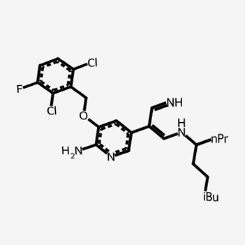 CCCC(CCC(C)CC)N/C=C(\C=N)c1cnc(N)c(OCc2c(Cl)ccc(F)c2Cl)c1